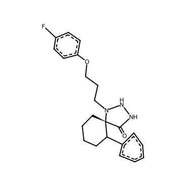 O=C1NNN(CCCOc2ccc(F)cc2)[C@]12CCCCC2c1ccccc1